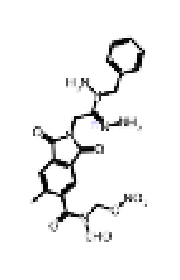 Cc1cc2c(cc1C(=O)N(C=O)CO[N+](=O)[O-])C(=O)N(C/C(=N/N)N(N)Cc1ccccc1)C2=O